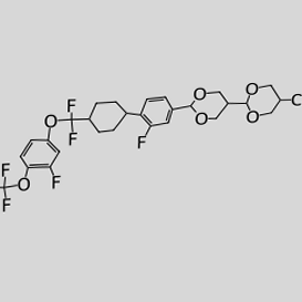 CC1COC(C2COC(c3ccc(C4CCC(C(F)(F)Oc5ccc(OC(F)(F)F)c(F)c5)CC4)c(F)c3)OC2)OC1